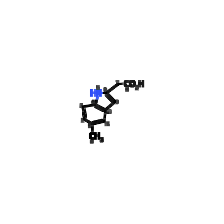 Cc1ccc2[nH]c(CC(=O)O)cc2c1